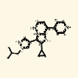 CC(C)Cn1cc(-c2c(C3CC3)nc3c(-c4ccncc4)ccnn23)cn1